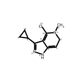 CN1CC=c2[nH]nc(C3CC3)c2=C1Cl